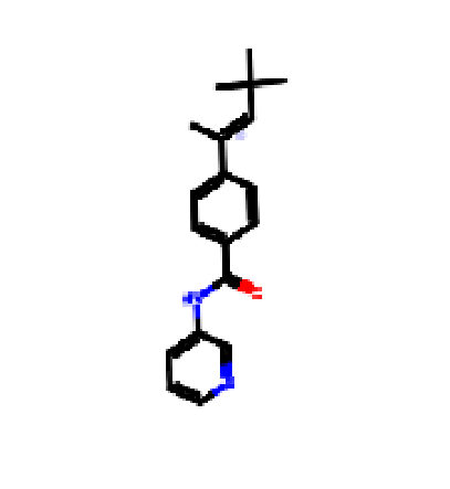 C/C(=C\C(C)(C)C)c1ccc(C(=O)Nc2cccnc2)cc1